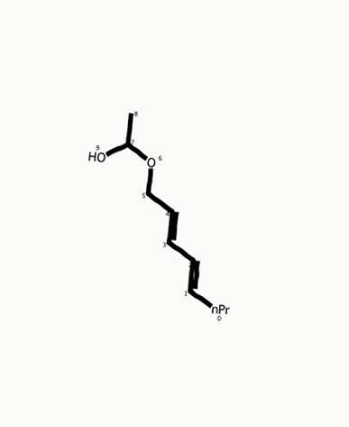 CCCC=CC=CCOC(C)O